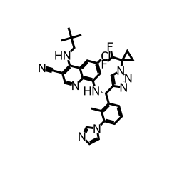 Cc1c([C@H](Nc2cc(Cl)cc3c(NCC(C)(C)C)c(C#N)cnc23)c2cn(C3(C(F)F)CC3)nn2)cccc1-n1ccnc1